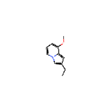 CCc1cc2c(OC)cccn2c1